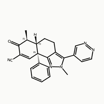 C[C@@H]1C(=O)C(C#N)=C[C@]2(c3ccccc3)c3nn(C)c(-c4ccnnc4)c3CC[C@@H]12